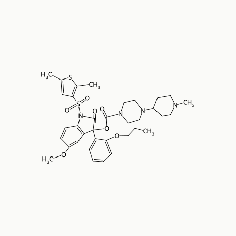 CCCOc1ccccc1C1(OC(=O)N2CCN(C3CCN(C)CC3)CC2)C(=O)N(S(=O)(=O)c2cc(C)sc2C)c2ccc(OC)cc21